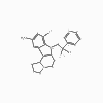 Cc1cc(F)c2c(c1)c1c(n2CC(C)(O)c2cccnc2)CCN2CCCC12